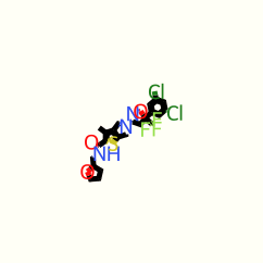 Cc1c(C(=O)NCC2CCCO2)sc2c1CN(C1=NOC(c3cc(Cl)cc(Cl)c3)(C(F)(F)F)C1)C2